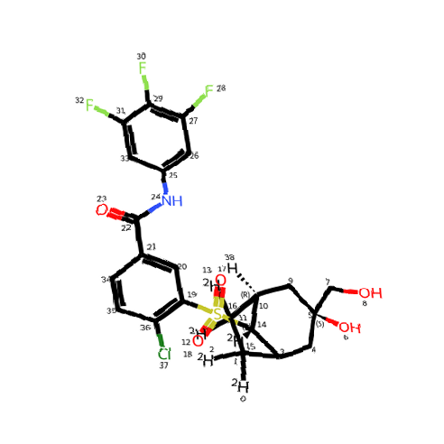 [2H]C1([2H])C2C[C@@](O)(CO)C[C@H](C1([2H])[2H])[C@@]2([2H])S(=O)(=O)c1cc(C(=O)Nc2cc(F)c(F)c(F)c2)ccc1Cl